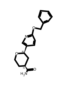 NC(=O)[C@H]1CCO[C@@H](c2ccc(OCc3ccccc3)nc2)C1